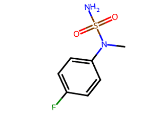 CN(c1ccc(F)cc1)S(N)(=O)=O